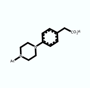 CC(=O)N1CCN(c2ccc(CC(=O)O)cc2)CC1